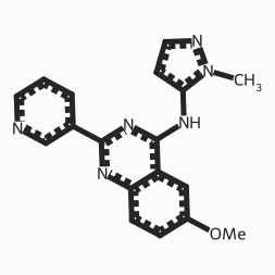 COc1ccc2nc(-c3cccnc3)nc(Nc3ccnn3C)c2c1